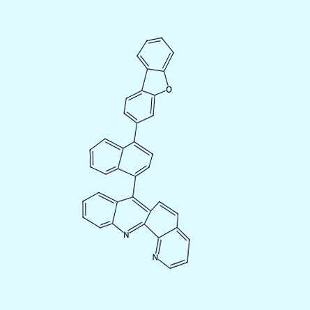 c1cnc2c(c1)ccc1c(-c3ccc(-c4ccc5c(c4)oc4ccccc45)c4ccccc34)c3ccccc3nc12